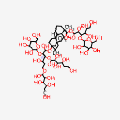 C=C1CC23CCC4[C@](C)(C(=O)OC(O)C(OO)C(OC5OC(CO)C(O)C(O)C5O)C(O)CCO)CCC[C@@]4(C)[C@@H]2CCC1(OC(O)/C(OC1OC(CO)C(O)C(O)C1O)=C(\OC(O)C(O)C(O)C(O)CCO)C(O)CCOC(O)C(O)C(O)C(O)CCO)C3